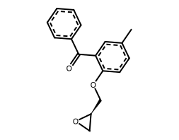 Cc1ccc(OC[C@H]2CO2)c(C(=O)c2ccccc2)c1